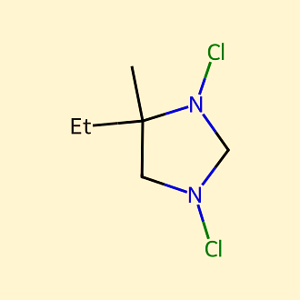 CCC1(C)CN(Cl)CN1Cl